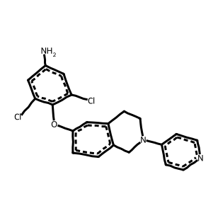 Nc1cc(Cl)c(Oc2ccc3c(c2)CCN(c2ccncc2)C3)c(Cl)c1